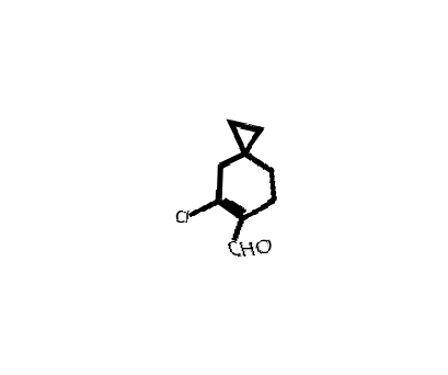 O=CC1=C(Cl)CC2(CC1)CC2